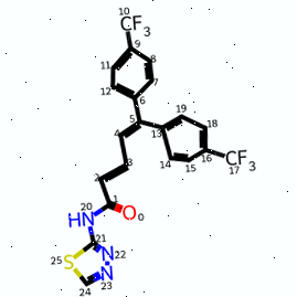 O=C(/C=C/C=C(c1ccc(C(F)(F)F)cc1)c1ccc(C(F)(F)F)cc1)Nc1nncs1